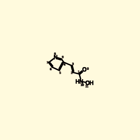 O=C(/C=C/c1cccnc1)NO